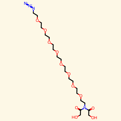 [N-]=[N+]=NCCOCCOCCOCCOCCOCCOCCOCCOCCN(C(=O)CO)C(=O)CO